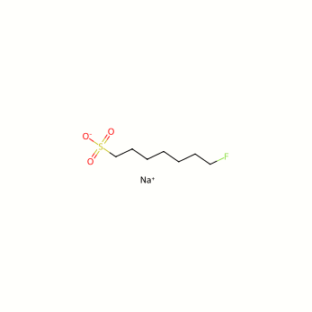 O=S(=O)([O-])CCCCCCCF.[Na+]